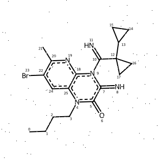 CCCCn1c(=O)c(=N)n(C(=N)C2(C3CC3)CC2)c2nc(C)c(Br)cc21